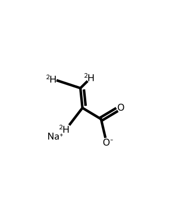 [2H]C([2H])=C([2H])C(=O)[O-].[Na+]